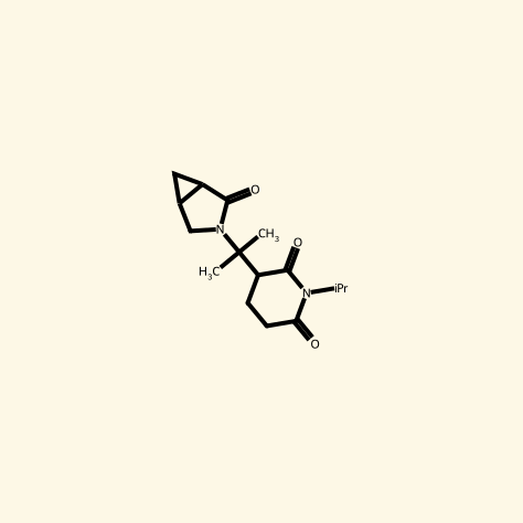 CC(C)N1C(=O)CCC(C(C)(C)N2CC3CC3C2=O)C1=O